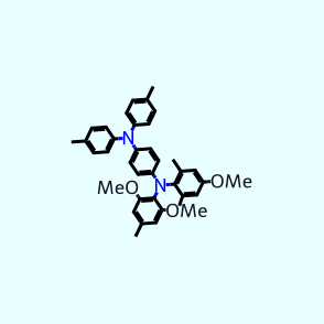 COc1cc(C)c(N(c2ccc(N(c3ccc(C)cc3)c3ccc(C)cc3)cc2)c2c(OC)cc(C)cc2OC)c(C)c1